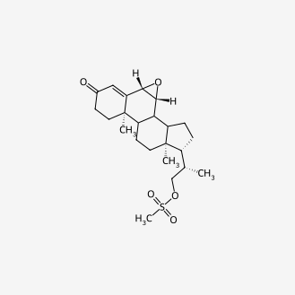 C[C@H](COS(C)(=O)=O)[C@H]1CCC2C3C(CC[C@@]21C)[C@@]1(C)CCC(=O)C=C1[C@@H]1O[C@H]31